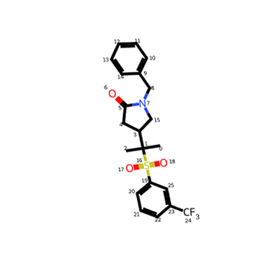 CC(C)(C1CC(=O)N(Cc2ccccc2)C1)S(=O)(=O)c1cccc(C(F)(F)F)c1